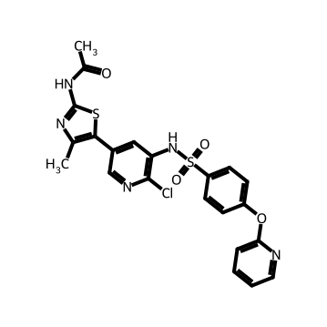 CC(=O)Nc1nc(C)c(-c2cnc(Cl)c(NS(=O)(=O)c3ccc(Oc4ccccn4)cc3)c2)s1